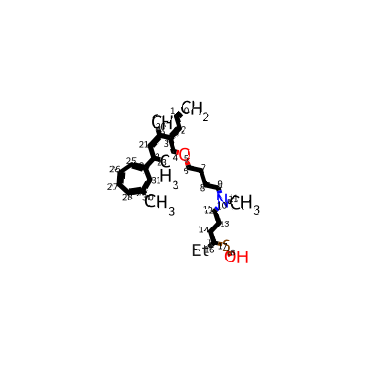 C=C/C=C(/COCCCCN(C)CCCC(CC)SO)C(C)=CC(C)C1=CC=CC=C(C)C1